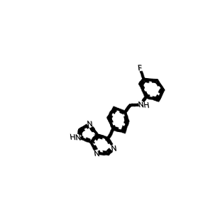 Fc1cccc(NCc2ccc(-c3ncnc4[nH]cnc34)cc2)c1